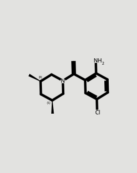 C=C(c1cc(Cl)ccc1N)N1C[C@H](C)C[C@H](C)C1